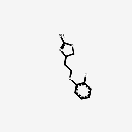 NC1=NC(CCOc2ccccc2Cl)CO1